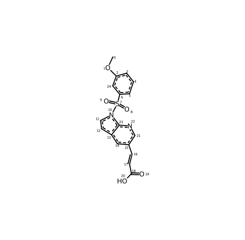 COc1cccc(S(=O)(=O)n2ccc3cc(C=CC(=O)O)cnc32)c1